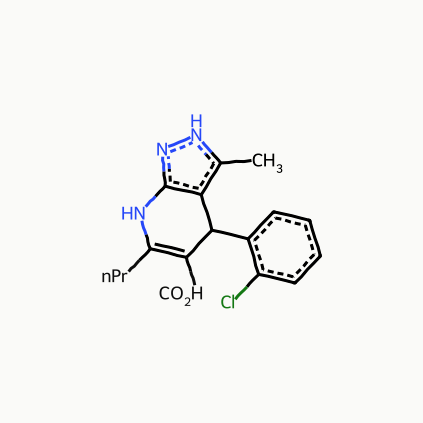 CCCC1=C(C(=O)O)C(c2ccccc2Cl)c2c(n[nH]c2C)N1